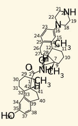 C[C@]1(C(=O)NC(=O)[C@@]2(C)CCC[C@]3(C)c4cc(N5CCNCC5)ccc4CC[C@@H]23)CCCC2c3cc(O)ccc3CC[C@H]21